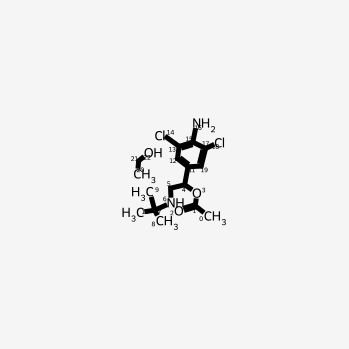 CC(=O)OC(CNC(C)(C)C)c1cc(Cl)c(N)c(Cl)c1.CCO